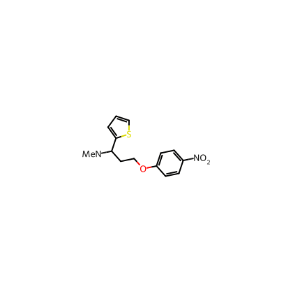 CNC(CCOc1ccc([N+](=O)[O-])cc1)c1cccs1